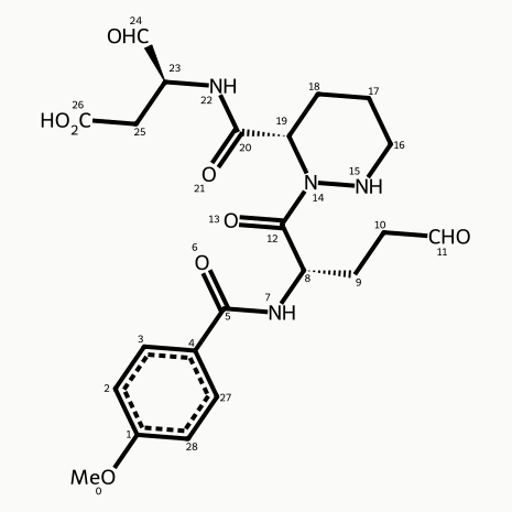 COc1ccc(C(=O)N[C@@H](CCC=O)C(=O)N2NCCC[C@H]2C(=O)N[C@H](C=O)CC(=O)O)cc1